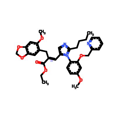 CCCCc1ncc(/C=C(\Cc2cc3c(cc2OC)OCO3)C(=O)OCC)n1-c1ccc(OC)cc1OCc1ccccn1